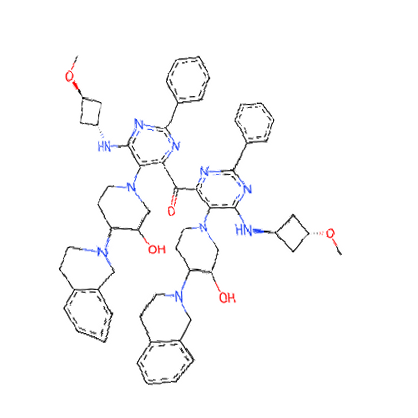 CO[C@H]1C[C@H](Nc2nc(-c3ccccc3)nc(C(=O)c3nc(-c4ccccc4)nc(N[C@H]4C[C@H](OC)C4)c3N3CCC(N4CCc5ccccc5C4)C(O)C3)c2N2CCC(N3CCc4ccccc4C3)C(O)C2)C1